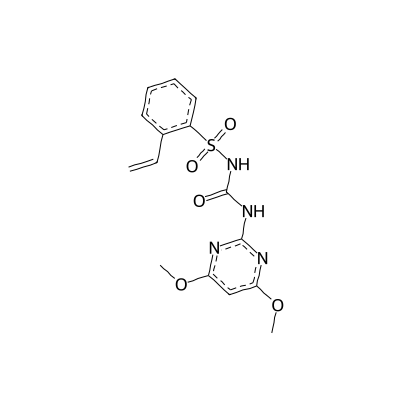 C=Cc1ccccc1S(=O)(=O)NC(=O)Nc1nc(OC)cc(OC)n1